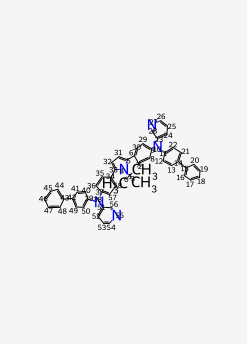 CC(C)(C)n1c(-c2ccc(N(c3ccc(-c4ccccc4)cc3)c3cccnc3)cc2)ccc1-c1ccc(N(c2ccc(-c3ccccc3)cc2)c2cccnc2)cc1